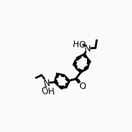 CCN(O)c1ccc(C(=O)c2ccc(N(O)CC)cc2)cc1